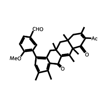 COc1ccc(C=O)cc1-c1cc(C)c(C)c2c1CC1(C)CC3(C)CC(C)=C(C(C)=O)C(=O)C3(C)C(C)=C1C2=O